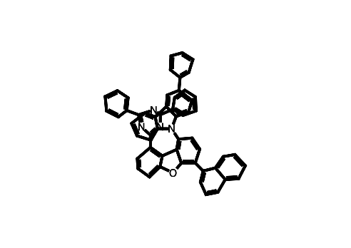 c1ccc(-c2ccc3c(c2)c2ccccc2n3-c2ccc(-c3cccc4ccccc34)c3oc4cccc(-c5nc(-c6ccccc6)nc(-c6ccccc6)n5)c4c23)cc1